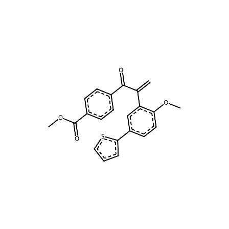 C=C(C(=O)c1ccc(C(=O)OC)cc1)c1cc(-c2cccs2)ccc1OC